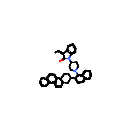 CC=C1C(=O)N(C2CCN(c3c(C4CCc5c(ccc6c5ccc5ccccc56)C4)ccc4ccccc34)CC2)c2ccccc21